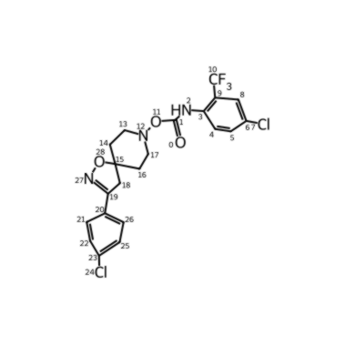 O=C(Nc1ccc(Cl)cc1C(F)(F)F)ON1CCC2(CC1)CC(c1ccc(Cl)cc1)=NO2